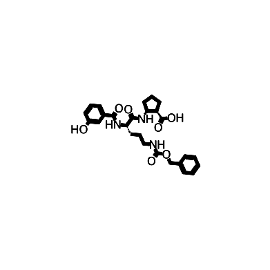 O=C(NCCC[C@H](NC(=O)c1cccc(O)c1)C(=O)N[C@H]1CCC[C@H]1C(=O)O)OCc1ccccc1